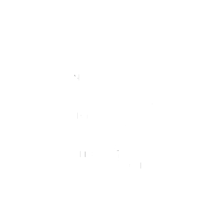 C[SiH](C)OC(c1c(N)cccc1Cl)C(C)(C)C